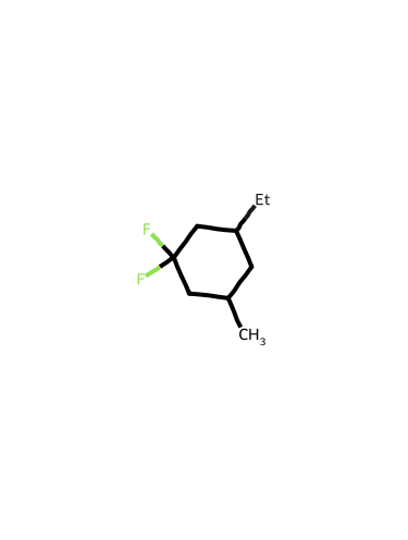 CCC1CC(C)CC(F)(F)C1